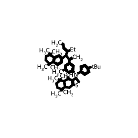 C=C/C=C(\CC)C(C(=C)c1cc(C)cc(N(c2ccc(C(C)(C)C)cc2)C2CSC3=C2C(C)C2C(C3)C(C)(C)CCC2(C)C)c1)c1ccc2c(c1)C(C)(C)CCC2(C)C